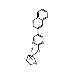 c1ccc2cc(-c3cnc(O[C@H]4CN5CCC4CC5)nc3)ccc2c1